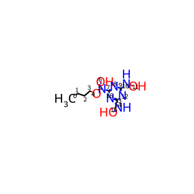 CCCCON(O)c1nc(NO)nc(NO)n1